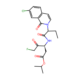 CCC(C(=O)N[C@@H](CC(=O)OC(C)C)C(=O)CF)n1ccc2ccc(Cl)cc2c1=O